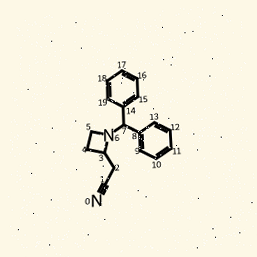 N#CCC1CCN1C(c1ccccc1)c1ccccc1